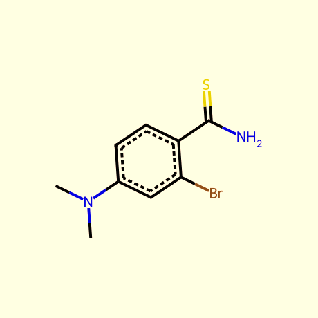 CN(C)c1ccc(C(N)=S)c(Br)c1